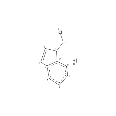 ClCC1C=Cc2ccccc21.[Hf]